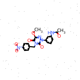 COc1nn(-c2cccc(NC(C)=O)c2)c(=O)n(Cc2ccc([N+](=O)[O-])cc2)c1=O